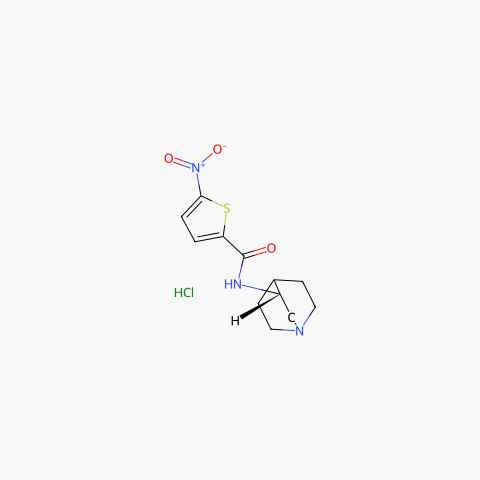 Cl.O=C(N[C@H]1CN2CCC1CC2)c1ccc([N+](=O)[O-])s1